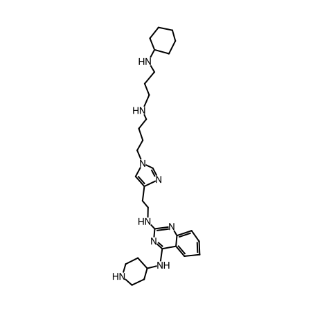 c1ccc2c(NC3CCNCC3)nc(NCCc3cn(CCCCNCCCNC4CCCCC4)cn3)nc2c1